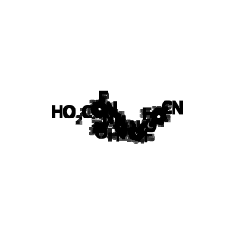 N#Cc1ccc(OCc2nc([C@]34C[C@H]3CN(Cc3nc5c(F)cc(C(=O)O)cc5n3C[C@@H]3CCO3)C4)ccc2F)c(F)c1